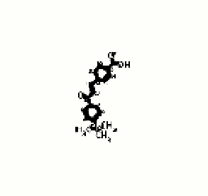 [CH3][Ge]([CH3])([CH3])[c]1ccc(C(=O)/C=C/c2ccc(C(=O)O)cc2)cc1